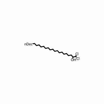 CCCCCCCCCCCCCCCCCCCCCCCCCCCC(O)C(Cl)Cl